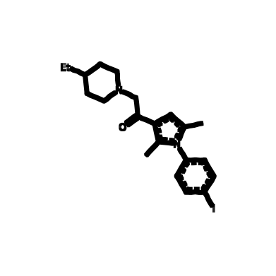 CCC1CCN(CC(=O)c2cc(C)n(-c3ccc(I)cc3)c2C)CC1